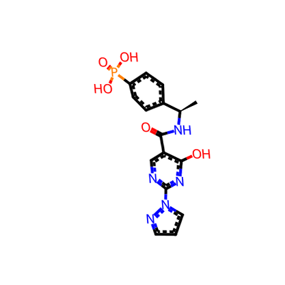 C[C@@H](NC(=O)c1cnc(-n2cccn2)nc1O)c1ccc(P(=O)(O)O)cc1